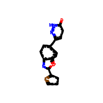 O=c1ccc(-c2ccc3nc(-c4cccs4)oc3c2)n[nH]1